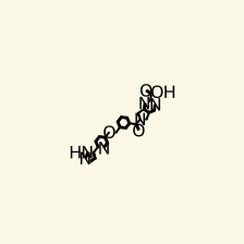 O=C(O)c1ncc2c(n1)CN(C(=O)c1cccc(COc3ccc(-c4ccn[nH]4)nc3)c1)C2